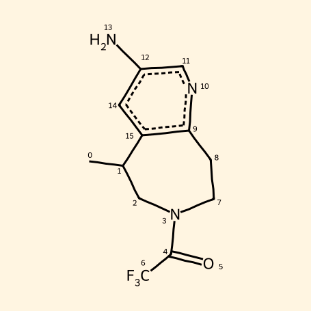 CC1CN(C(=O)C(F)(F)F)CCc2ncc(N)cc21